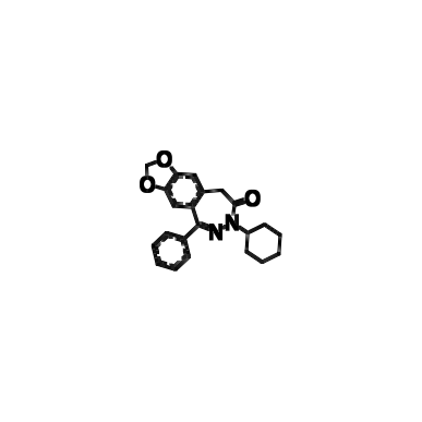 O=C1Cc2cc3c(cc2C(c2ccccc2)=NN1C1CCCCC1)OCO3